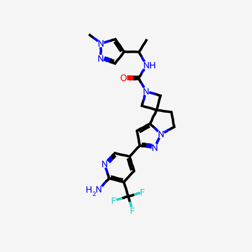 CC(NC(=O)N1CC2(CCn3nc(-c4cnc(N)c(C(F)(F)F)c4)cc32)C1)c1cnn(C)c1